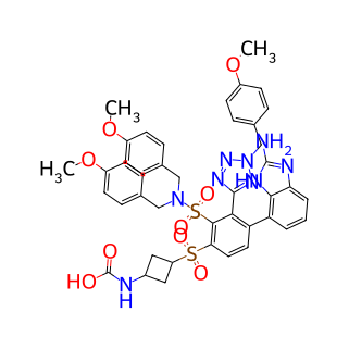 COc1ccc(CN(Cc2ccc(OC)cc2)S(=O)(=O)c2c(S(=O)(=O)C3CC(NC(=O)O)C3)ccc(-c3cccc4nc(N)[nH]c34)c2-c2nnn(Cc3ccc(OC)cc3)n2)cc1